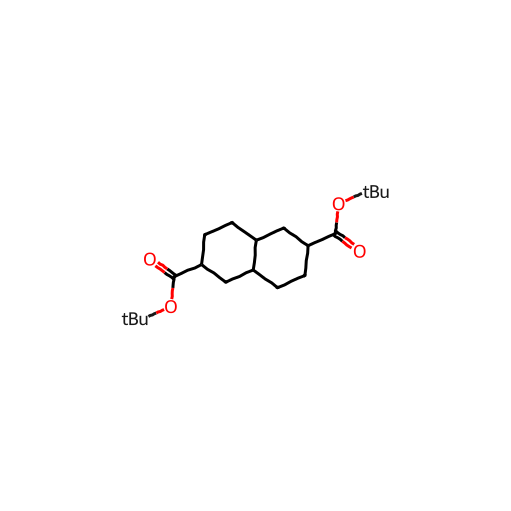 CC(C)(C)OC(=O)C1CCC2CC(C(=O)OC(C)(C)C)CCC2C1